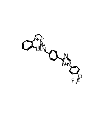 CCC(C)c1ccccc1N1CCS/C1=N\N=C\c1ccc(-c2ncn(-c3ccc(OC(F)(F)F)cc3)n2)cc1